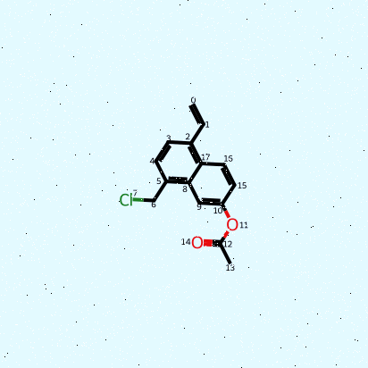 C=Cc1ccc(CCl)c2cc(OC(C)=O)ccc12